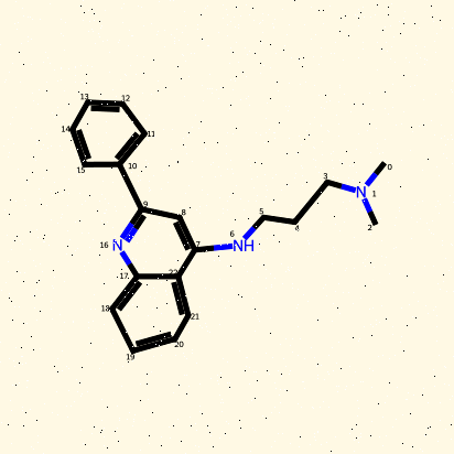 CN(C)CCCNc1cc(-c2ccccc2)nc2ccccc12